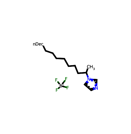 CCCCCCCCCCCCCCCCCC(C)n1ccnc1.F[B-](F)(F)F